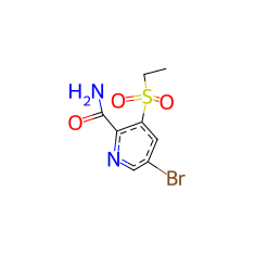 CCS(=O)(=O)c1cc(Br)cnc1C(N)=O